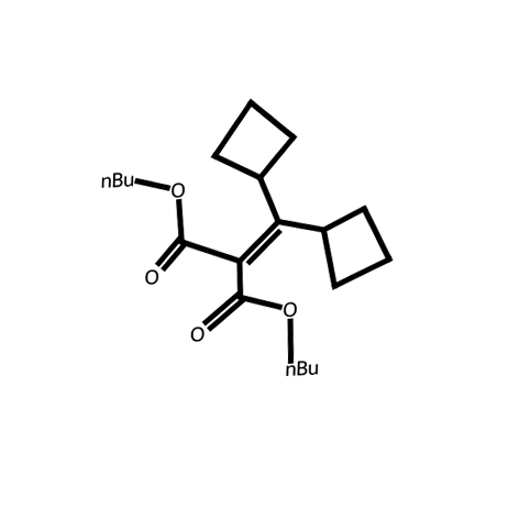 CCCCOC(=O)C(C(=O)OCCCC)=C(C1CCC1)C1CCC1